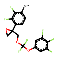 CCCc1ccc(C2(COC(F)(F)Oc3cc(F)c(F)c(F)c3)CO2)c(F)c1F